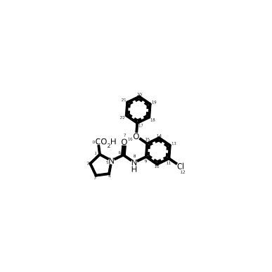 O=C(O)C1CCCN1C(=O)Nc1cc(Cl)ccc1Oc1ccccc1